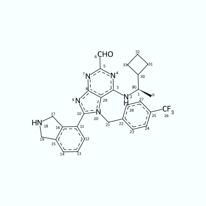 C[C@@H](Nc1nc(C=O)nc2nc(-c3cccc4c3CNC4)n(Cc3ccc(C(F)(F)F)cc3)c12)C1CCC1